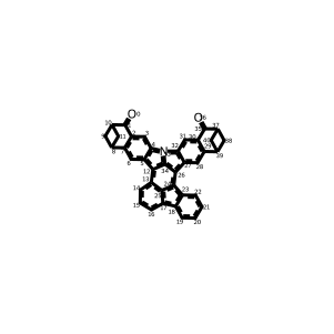 O=C1c2cc3c(cc2C2CC1C2)c1c2cccc4c5ccccc5c(c42)c2c4cc5c(cc4n3c12)C(=O)C1CC5C1